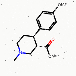 COC(=O)[C@@H]1CN(C)CC[C@H]1c1ccc(OC)cc1